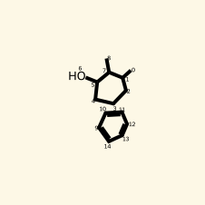 CC1CCCC(O)C1C.c1ccccc1